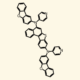 c1ccc2c(c1)oc1ccc(N(c3ccncc3)c3ccc4c(c3)sc3cc(N(c5ccncc5)c5ccc6oc7ccccc7c6c5)c5ccccc5c34)cc12